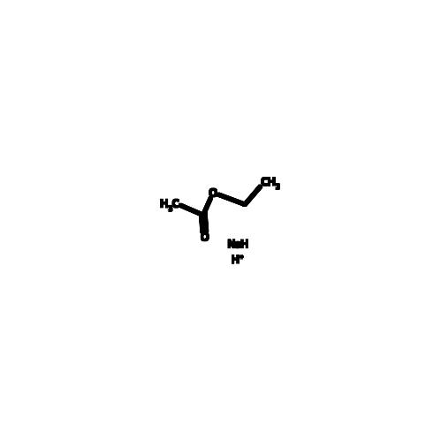 CCOC(C)=O.[H+].[NaH]